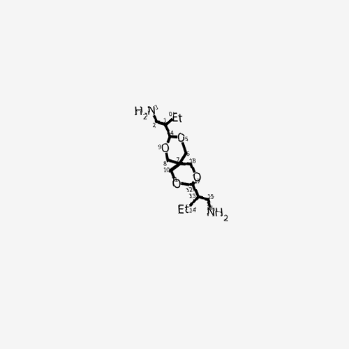 CCC(CN)C1OCC2(CO1)COC(C(CC)CN)OC2